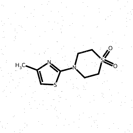 Cc1csc(N2CCS(=O)(=O)CC2)n1